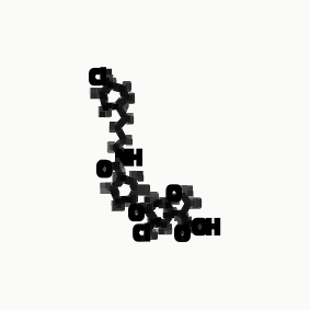 O=C(NCCCCc1ccc(Cl)cc1)c1ccc(Oc2cc3c(cc2Cl)C(C(=O)O)CCO3)cc1